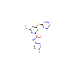 CCc1cc(Oc2cncnc2)cc(C(=O)Nc2ccc(C)cn2)n1